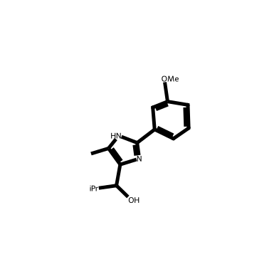 COc1cccc(-c2nc(C(O)C(C)C)c(C)[nH]2)c1